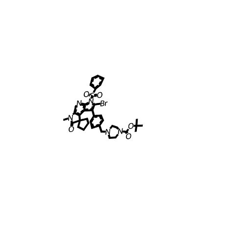 CN1C(=O)C2(CCCC2)c2c1cnc1c2c(-c2ccc(CN3CCN(C(=O)OC(C)(C)C)CC3)cc2)c(Br)n1S(=O)(=O)c1ccccc1